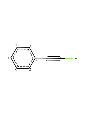 FC#Cc1[c]cccc1